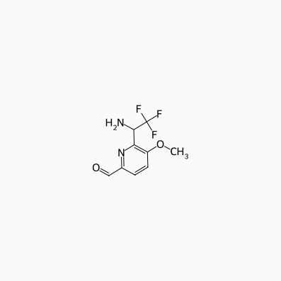 COc1ccc(C=O)nc1C(N)C(F)(F)F